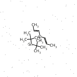 CC=COC=CC.C[C](C)(C)[Sn][C](C)(C)C